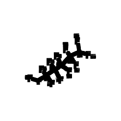 F[CH]C(F)(F)C(F)(F)C(F)(F)C(F)(F)C(F)F